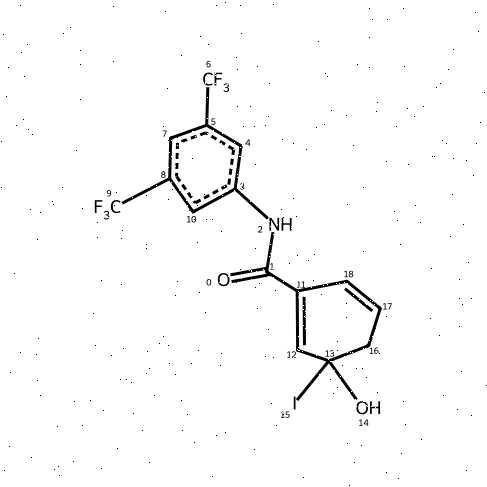 O=C(Nc1cc(C(F)(F)F)cc(C(F)(F)F)c1)C1=CC(O)(I)CC=C1